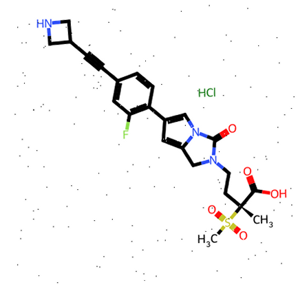 C[C@@](CCN1Cc2cc(-c3ccc(C#CC4CNC4)cc3F)cn2C1=O)(C(=O)O)S(C)(=O)=O.Cl